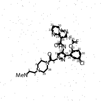 CNCCN1CCN(C(=O)Cn2cc(NC(=O)c3cnn4cccnc34)c(-c3cc(Cl)ccc3OC(F)F)n2)CC1